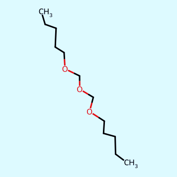 CCCCCOCOCOCCCCC